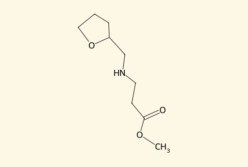 COC(=O)CCNCC1CCCO1